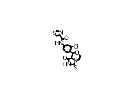 O=C(Nc1ccc(C2OC=CN3C(=S)NC(=O)C23)c(Cl)c1)c1cscn1